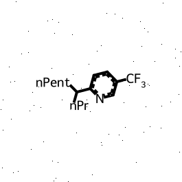 CCCCCC(CCC)c1ccc(C(F)(F)F)cn1